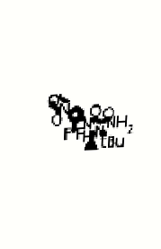 CC(C)(C)CN(CC1CC1)[C@@H](C(N)=O)C(=O)Nc1ccc(N2CCOCC2=O)cc1C(F)F